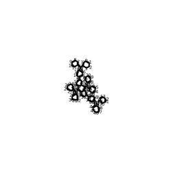 C1=CCCC(N(c2ccccc2)c2ccc(-c3ccc4c(N(C5=CCCC=C5)c5ccccc5)c5ccc(-c6ccc(N(C7=CCCC=C7)c7ccccc7)cc6)cc5c(N(c5ccccc5)c5ccccc5)c4c3)cc2)=C1